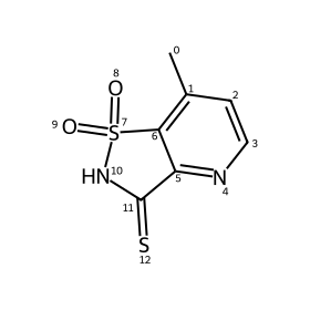 Cc1ccnc2c1S(=O)(=O)NC2=S